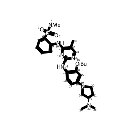 CNS(=O)(=O)c1ccccc1Nc1nc(Nc2ccc(N3CC[C@H](N(C)C)C3)cc2OCC(C)C)ncc1C